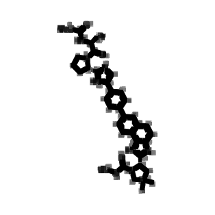 COC(=O)N[C@H](C(=O)N1CCC[C@H]1c1ncc(-c2ccc(-c3ccc4c(ccc5nc([C@@H]6C[Si](C)(C)CN6C(=O)OC(C)(C)C)[nH]c54)c3)cc2)[nH]1)C(C)C